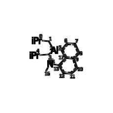 CC(C)[CH2][Al]([CH2]C(C)C)[c]1cccc2cccc(N(C)C)c12